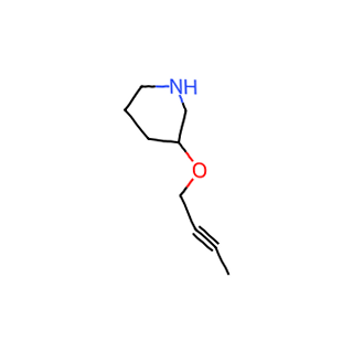 CC#CCOC1CCCNC1